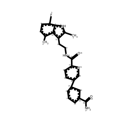 Cc1[nH]c2c(F)ccc(C)c2c1CCNC(=O)c1ccc(-c2cccc(C(N)=O)c2)cn1